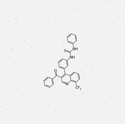 O=C(c1ccccc1)c1cnc2c(C(F)(F)F)cccc2c1-c1cccc(NC(=S)Nc2ccccc2)c1